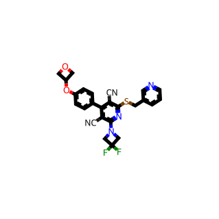 N#Cc1c(SCc2cccnc2)nc(N2CC(F)(F)C2)c(C#N)c1-c1ccc(OC2COC2)cc1